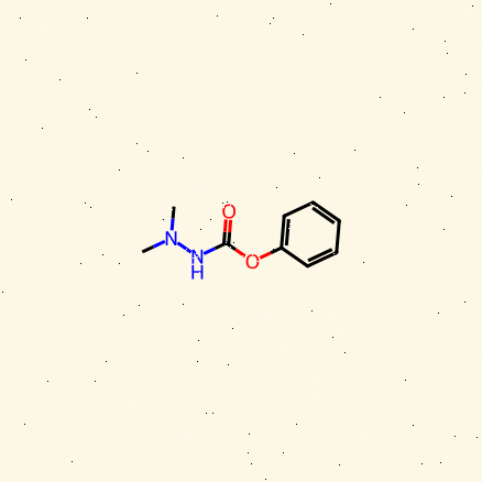 CN(C)NC(=O)Oc1ccccc1